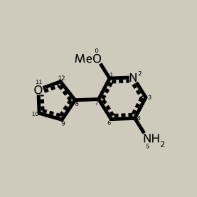 COc1ncc(N)cc1-c1ccoc1